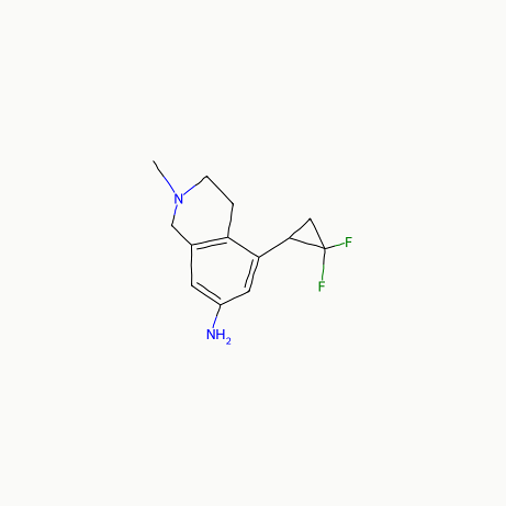 CN1CCc2c(cc(N)cc2C2CC2(F)F)C1